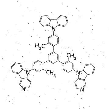 Cc1cc(N2c3ccncc3C3C=CC=CC32)ccc1-c1cc(-c2ccc(-n3c4ccccc4c4ccccc43)cc2C)cc(-c2ccc(-n3c4ccccc4c4cnccc43)cc2C)c1